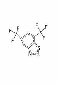 FC(F)(F)c1cc(C(F)(F)F)c2s[c]nc2c1